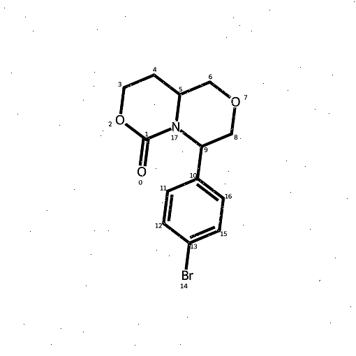 O=C1OCCC2COCC(c3ccc(Br)cc3)N12